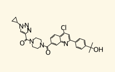 CC(C)(O)c1ccc(-c2cc(Cl)c3ccc(C(=O)N4CCN(C(=O)c5cn(C6CC6)nn5)CC4)cc3n2)cc1